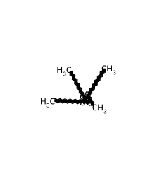 C[CH]Cc1cc(OCCCCCCCCCCCC)c(OCCCCCCCCCCCC)c(OCCCCCCCCCCCC)c1